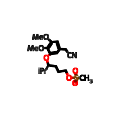 COc1cc(CC#N)cc(O[C@@H](CCCOS(C)(=O)=O)C(C)C)c1OC